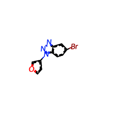 Brc1ccc2c(c1)nnn2-c1ccoc1